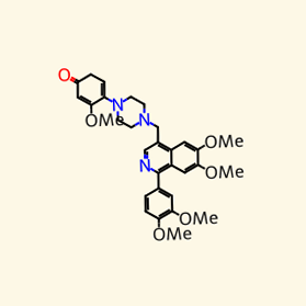 COC1=CC(=O)CC=C1N1CCN(Cc2cnc(-c3ccc(OC)c(OC)c3)c3cc(OC)c(OC)cc23)CC1